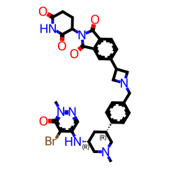 CN1C[C@H](Nc2cnn(C)c(=O)c2Br)C[C@H](c2ccc(CN3CC(c4ccc5c(c4)C(=O)N(C4CCC(=O)NC4=O)C5=O)C3)cc2)C1